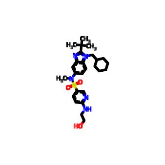 CN(c1ccc2c(c1)nc(C(C)(C)C)n2CC1CCCCC1)S(=O)(=O)c1ccc(NCCO)nc1